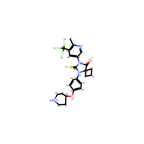 Cc1ncc(N2C(=O)C3(CCC3)N(c3ccc(OC4CCNCC4)cc3)C2=S)cc1C(F)(F)F